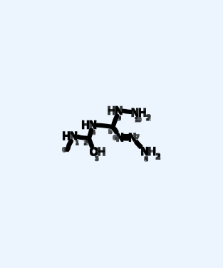 CNC(O)NC(N=NN)NN